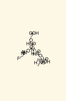 NC(=O)N[C@@H](Cc1ccc(NC(=O)CCC(CCC(=O)Nc2ccc(CCC(=O)O)cc2)NC(=O)c2ccc(-n3cc(CCCF)nn3)cc2)cc1)C(=O)O